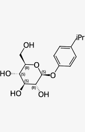 CC(C)c1ccc(O[C@@H]2O[C@H](CO)[C@@H](O)[C@H](O)[C@H]2O)cc1